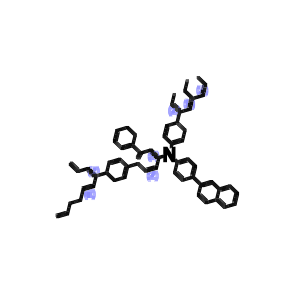 C=C/C=C(\C=C\CCC=C)C1C=CC(C/C=C\C(=C/C(=C)C2=CC=CCC2)N(C2=CCC(C(=C/C)/C=C(/C=C\C)CC)C=C2)c2ccc(-c3ccc4ccccc4c3)cc2)=CC1